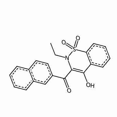 CCN1C(C(=O)c2ccc3ccccc3c2)=C(O)c2ccccc2S1(=O)=O